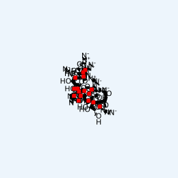 [N-]=[N+]=NS(=O)(=O)OC([C@@]1(S(=O)(=O)N=[N+]=[N-])OC(OC([C@@]2(S(=O)(=O)N=[N+]=[N-])OC(O[C@]3(C(O)(CC4CO4)S(=O)(=O)N=[N+]=[N-])O[C@H](CO)[C@@H](O)[C@@H]3O)(S(=O)(=O)N=[N+]=[N-])[C@H](O)[C@@H](O)[C@@H]2O)(S(=O)(=O)N=[N+]=[N-])S(=O)(=O)N=[N+]=[N-])(S(=O)(=O)N=[N+]=[N-])[C@H](O)[C@@H](O)[C@H]1O)(S(=O)(=O)N=[N+]=[N-])S(=O)(=O)N=[N+]=[N-]